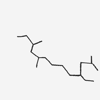 CCC(C)CC(C)CCCCC(CC)CC(C)C